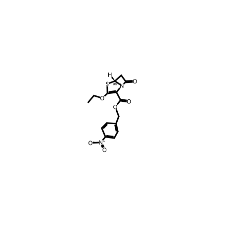 CCOC1=C(C(=O)OCc2ccc([N+](=O)[O-])cc2)N2C(=O)C[C@H]2S1